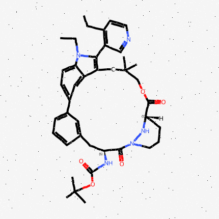 CCc1ccncc1-c1c2c3cc(ccc3n1CC)-c1cccc(c1)C[C@H](NC(=O)OC(C)(C)C)C(=O)N1CCC[C@H](N1)C(=O)OCC(C)(C)C2